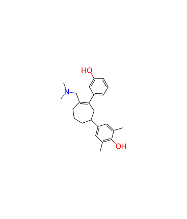 Cc1cc(C2CCCC(CN(C)C)=C(c3cccc(O)c3)C2)cc(C)c1O